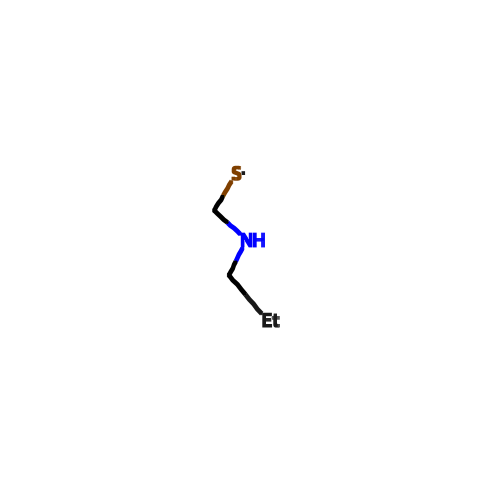 CCCNC[S]